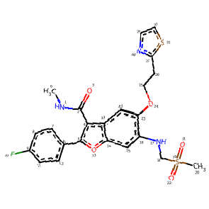 CNC(=O)c1c(-c2ccc(F)cc2)oc2cc(NCS(C)(=O)=O)c(OCCc3nccs3)cc12